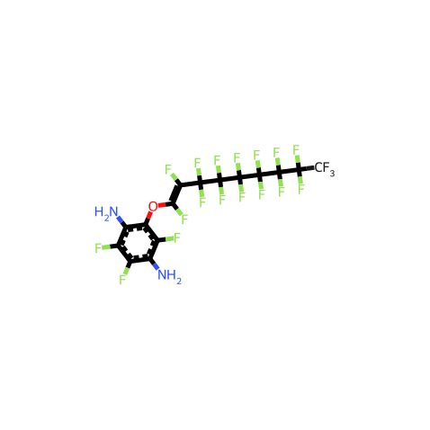 Nc1c(F)c(F)c(N)c(OC(F)=C(F)C(F)(F)C(F)(F)C(F)(F)C(F)(F)C(F)(F)C(F)(F)C(F)(F)F)c1F